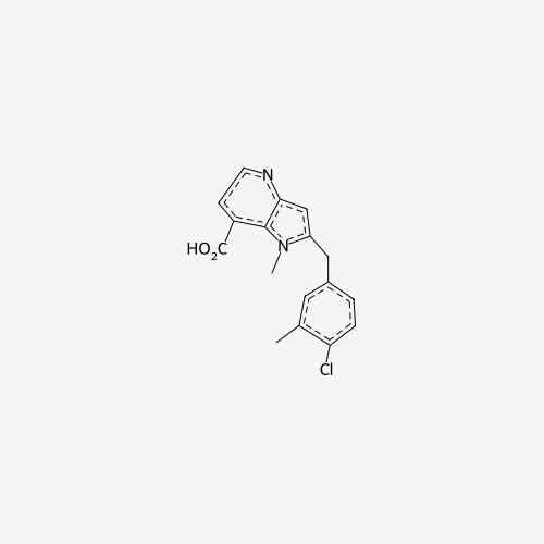 Cc1cc(Cc2cc3nccc(C(=O)O)c3n2C)ccc1Cl